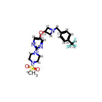 CS(=O)(=O)N1CCN(c2ncc(OC3CN(Cc4ccc(C(F)(F)F)cc4)C3)cn2)CC1